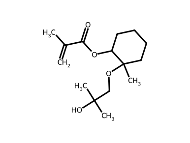 C=C(C)C(=O)OC1CCCCC1(C)OCC(C)(C)O